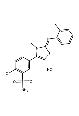 Cc1ccccc1N=c1scc(-c2ccc(Cl)c(S(N)(=O)=O)c2)n1C.Cl